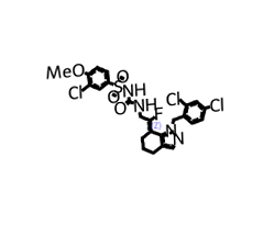 COc1ccc(S(=O)(=O)NC(=O)NC/C(F)=C2\CCCc3cnn(Cc4ccc(Cl)cc4Cl)c32)cc1Cl